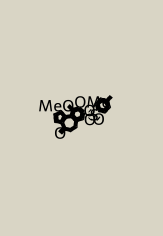 COc1c(OS(=O)(=O)c2ccc(C)cc2)cc2c(c1OC)C1=C(C=CC1)C(=O)CC2